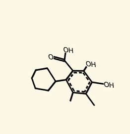 Cc1c(C)c(C2CCCCC2)c(C(=O)O)c(O)c1O